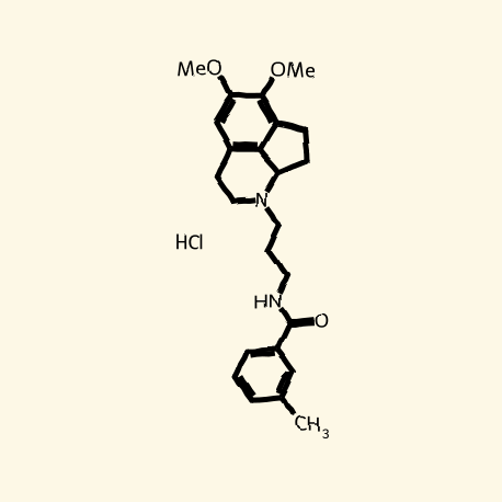 COc1cc2c3c(c1OC)CCC3N(CCCNC(=O)c1cccc(C)c1)CC2.Cl